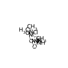 CCCc1c(Cl)n(CC(C)C)c(=O)n1Cc1ccc(-c2ccccc2-c2nnn[nH]2)nc1